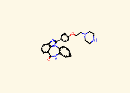 O=C1Nc2ccccc2-n2c(-c3ccc(OCCN4CCNCC4)cc3)nc3cccc1c32